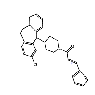 O=C(/C=C/c1ccccc1)N1CCC(C2c3ccccc3CCc3ccc(Cl)cc32)CC1